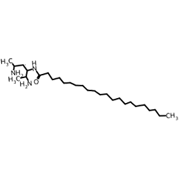 CCCCCCCCCCCCCCCCCCCCCC(=O)NC([CH]C(C)N)C(C)N